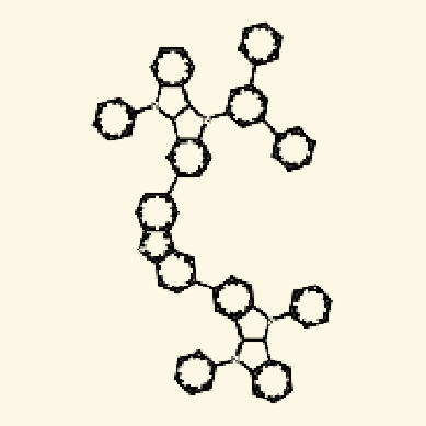 c1ccc(-c2cc(-c3ccccc3)cc(N3c4ccc(-c5ccc6sc7ccc(-c8ccc9c(c8)C8C(c%10ccccc%10N8c8ccccc8)N9c8ccccc8)cc7c6c5)cc4C4C3c3ccccc3N4c3ccccc3)c2)cc1